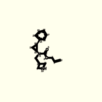 C=CCOC(=O)N(CC1CNC1)[C@@H]1C[C@H]1c1ccccc1